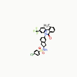 Cc1cccc(C(=O)Nc2ccc3c(c2)CC(NS(=O)(=O)c2ccc(Cl)cc2)C3)c1-c1ccc(C(F)(F)F)cc1